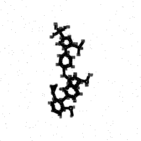 COc1ncnc(C2CC2)c1-c1ncc2c(OI)nn(Cc3ccc(-c4nc(C(F)(F)F)cn4C(C)C)cc3)c2n1